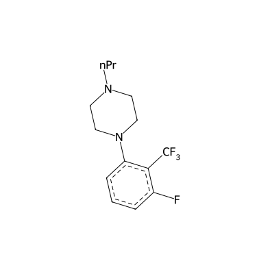 CCCN1CCN(c2cccc(F)c2C(F)(F)F)CC1